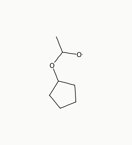 CC([O])OC1CCCC1